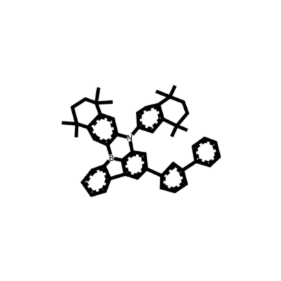 CC1(C)CCC(C)(C)c2cc(N3c4cc5c(cc4B4c6ccccc6-c6cc(-c7cccc(-c8ccccc8)c7)cc3c64)C(C)(C)CCC5(C)C)ccc21